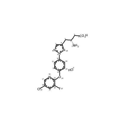 Cl.N[C@@H](CC(=O)O)Cc1cnn(-c2ccc(Oc3ncc(Cl)cc3F)cc2)n1